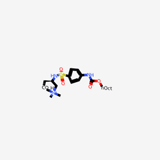 CCCCCCCCOC(=O)Nc1ccc(S(=O)(=O)N[C@H](CC(=O)O)C[N+](C)(C)C)cc1